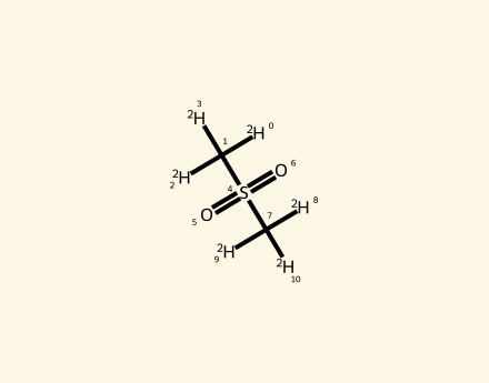 [2H]C([2H])([2H])S(=O)(=O)C([2H])([2H])[2H]